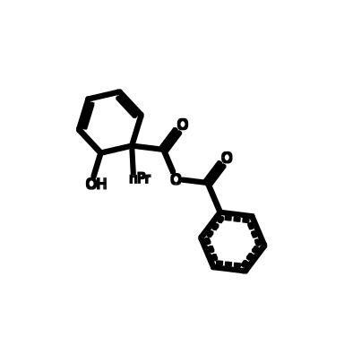 CCCC1(C(=O)OC(=O)c2ccccc2)C=CC=CC1O